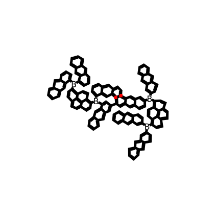 c1ccc2cc3cc(B(c4ccc5cc6ccccc6cc5c4)c4ccc5ccc6ccc(B(c7ccc8cc9ccccc9cc8c7)c7ccc8cc9cc(-c%10cc(B(c%11cccc%12cc%13ccccc%13cc%11%12)c%11ccc%12ccc%13ccc(B(c%14cccc%15cc%16ccccc%16cc%14%15)c%14cccc%15cc%16ccccc%16cc%14%15)c%14ccc%11c%12c%13%14)c%11cc%12ccccc%12cc%11c%10)ccc9cc8c7)c7ccc4c5c67)ccc3cc2c1